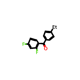 CCc1ccc(C(=O)c2ccc(F)cc2F)cc1